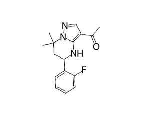 CC(=O)c1cnn2c1NC(c1ccccc1F)CC2(C)C